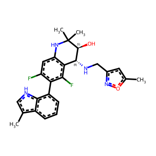 Cc1cc(CN[C@@H]2c3c(cc(F)c(-c4cccc5c(C)c[nH]c45)c3F)NC(C)(C)[C@H]2O)no1